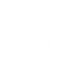 CC1CCC2OC2CC1